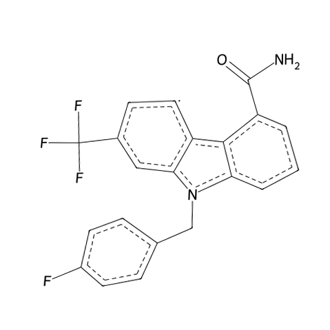 NC(=O)c1cccc2c1c1[c]cc(C(F)(F)F)cc1n2Cc1ccc(F)cc1